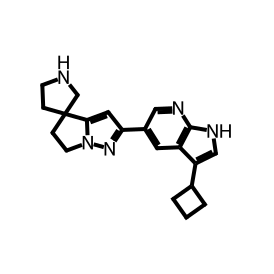 c1nc2[nH]cc(C3CCC3)c2cc1-c1cc2n(n1)CCC21CCNC1